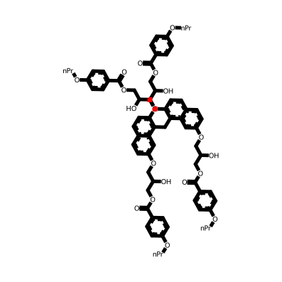 CCCOc1ccc(C(=O)OCC(O)COc2ccc3ccc(OCC(O)COC(=O)c4ccc(OCCC)cc4)c(Cc4c(OCC(O)COC(=O)c5ccc(OCCC)cc5)ccc5ccc(OCC(O)COC(=O)c6ccc(OCCC)cc6)cc45)c3c2)cc1